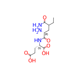 CCC(C[C@@H](N)C(=O)N[C@@H](CCC(=O)O)C(=O)O)C(N)=O